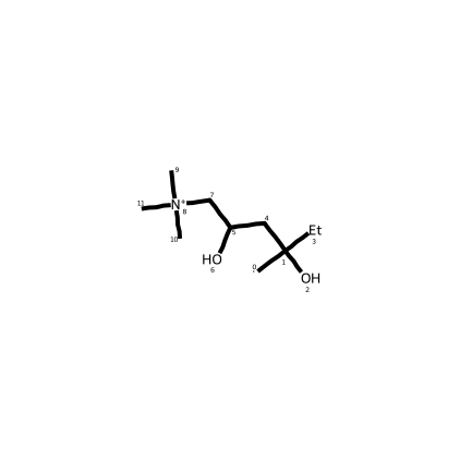 [CH2]C(O)(CC)CC(O)C[N+](C)(C)C